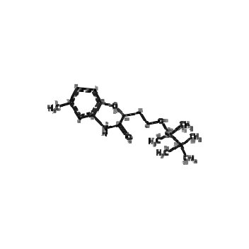 Cc1ccc2c(c1)NC(=O)C(CCO[Si](C)(C)C(C)(C)C)O2